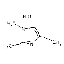 Cc1cn(C)c(C)n1.O